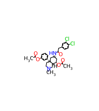 CC(=O)Oc1cccc([C@@]23CCN(C)C[C@H]2C(OC(C)=O)C[C@@H](NC(=O)Cc2ccc(Cl)c(Cl)c2)C3)c1